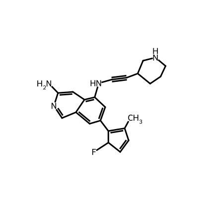 CC1=C(c2cc(NC#CC3CCCNC3)c3cc(N)ncc3c2)C(F)C=C1